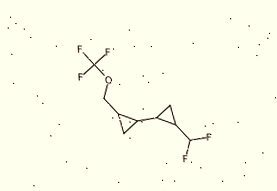 FC(F)C1CC1[C]1CC1COC(F)(F)F